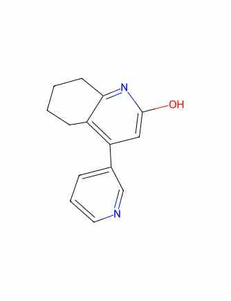 Oc1cc(-c2cccnc2)c2c(n1)CCCC2